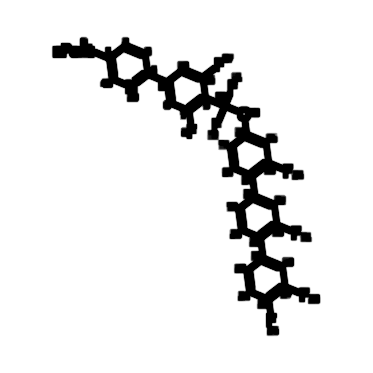 CCCCCc1ccc(-c2cc(F)c(C(F)(F)Oc3ccc(-c4ccc(-c5ccc(F)c(F)c5)c(F)c4)c(F)c3)c(F)c2)nc1